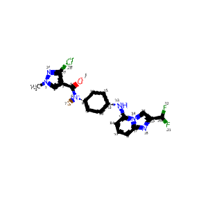 Cn1cc(C(=O)[N+](=S)[C@H]2CC[C@@H](Nc3cccc4nc(C(F)F)cn34)CC2)c(Cl)n1